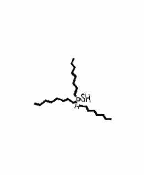 CCCCCCCC[PH](S)(CCCCCCCC)CCCCCCCC